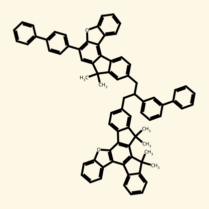 CC1(C)c2cc(CC(Cc3ccc4c(c3)C(C)(C)c3c5c(c6c(oc7ccccc76)c3-4)-c3ccccc3C5(C)C)c3cccc(-c4ccccc4)c3)ccc2-c2c1cc(-c1ccc(-c3ccccc3)cc1)c1oc3ccccc3c21